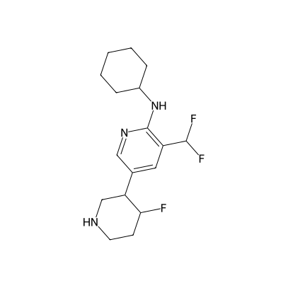 FC(F)c1cc(C2CNCCC2F)cnc1NC1CCCCC1